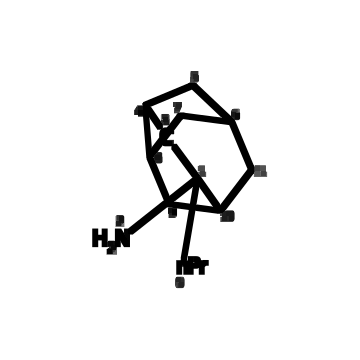 CCCC1(N)CC2CC3CC2CC1C3